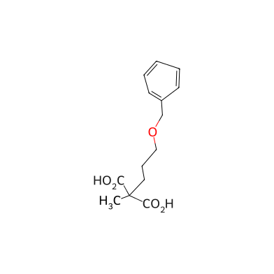 CC(CCCOCc1ccccc1)(C(=O)O)C(=O)O